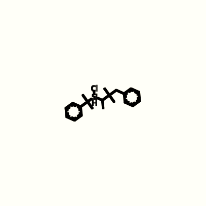 CC([SiH](Cl)C(C)(C)c1ccccc1)C(C)(C)Cc1ccccc1